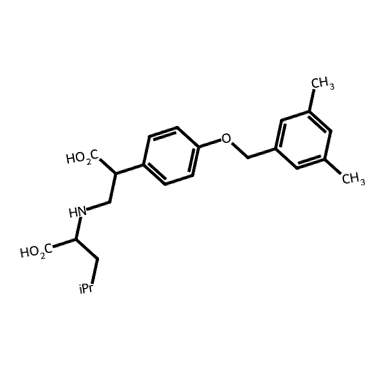 Cc1cc(C)cc(COc2ccc(C(CNC(CC(C)C)C(=O)O)C(=O)O)cc2)c1